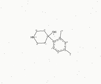 Cc1ccc(C2(O)CCNCC2)c(C)c1